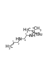 C=CCNCCN[Si](C)(C)C(C)(C)C